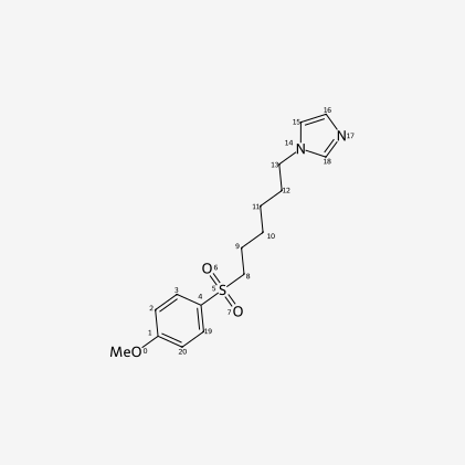 COc1ccc(S(=O)(=O)CCCCCCn2ccnc2)cc1